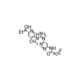 CC[C@@H](O)c1cc(C)c(Nc2nccn2-c2cc(NC(=O)[C@@H]3C[C@@H]3F)ncn2)cn1